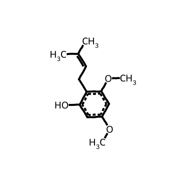 COc1cc(O)c(CC=C(C)C)c(OC)c1